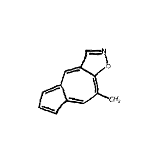 Cc1cc2cccc-2cc2cnoc12